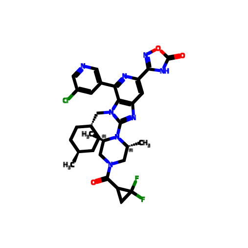 C[C@@H]1CN(C(=O)C2CC2(F)F)C[C@@H](C)N1c1nc2cc(-c3noc(=O)[nH]3)nc(-c3cncc(Cl)c3)c2n1C[C@H]1CC[C@H](C)CC1